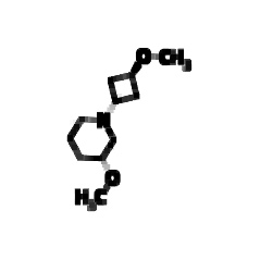 CO[C@@H]1CCCN([C@H]2C[C@H](OC)C2)C1